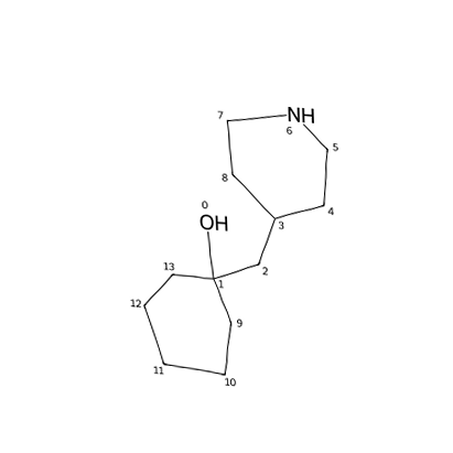 OC1(CC2CCNCC2)CCCCC1